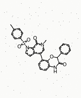 Cc1ccc(S(=O)(=O)n2ccc3c(-c4cccc5c4OC(c4ccccc4)C(=O)N5)cn(C)c(=O)c32)cc1